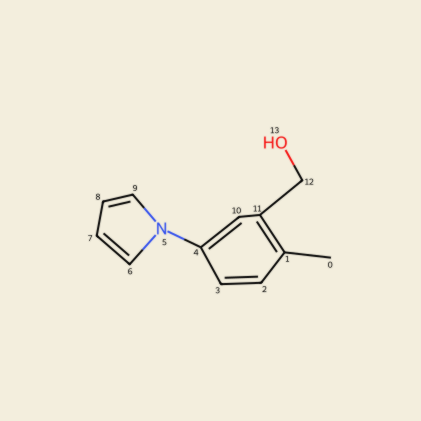 Cc1ccc(-n2cccc2)cc1CO